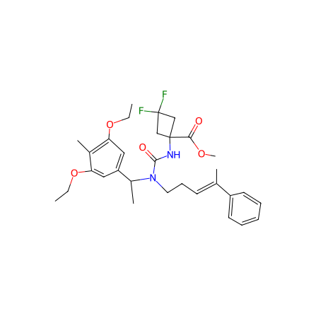 CCOc1cc(C(C)N(CC/C=C(\C)c2ccccc2)C(=O)NC2(C(=O)OC)CC(F)(F)C2)cc(OCC)c1C